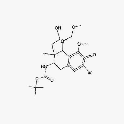 COCOC1c2c(OC)c(=O)c(Br)cn2CC(NC(=O)OC(C)(C)C)C1(C)CCO